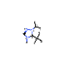 CC(C)N1N=CN(C)C1C(C)(C)C